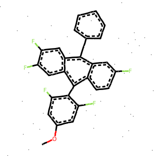 COc1cc(F)c(-c2c3ccc(F)cc3c(-c3ccccc3)c3cc(F)c(F)cc23)c(F)c1